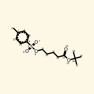 Cc1ccc(S(=O)(=O)OCCCCC(=O)OC(C)(C)C)cc1